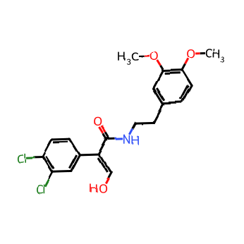 COc1ccc(CCNC(=O)C(=CO)c2ccc(Cl)c(Cl)c2)cc1OC